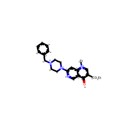 CCOC(=O)c1cn(CC)c2cc(N3CCN(Cc4ccccc4)CC3)ncc2c1=O